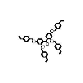 C=Cc1ccc(COc2ccc(C(=O)c3ccc(OCc4ccc(C=C)cc4)cc3OCc3ccc(C=C)cc3)c(OCc3ccc(C=C)cc3)c2)cc1